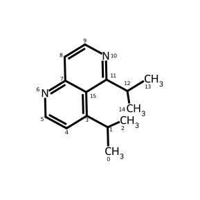 CC(C)c1ccnc2ccnc(C(C)C)c12